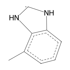 Cc1cccc2c1N[CH]N2